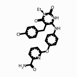 CCn1c(=O)[nH]c(Nc2ccc(Oc3cccc(C(N)=O)n3)cc2)c(Cc2ccc(Cl)cc2)c1=O